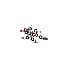 CC(C)(C)c1ccc(-c2ccc3c(c2)C2(C)CCCCC2(C)N3c2cc3c4c(c2)N(c2ccc(C(C)(C)C)cc2-c2ccccc2)c2cc(C(C)(C)C)ccc2B4c2cc(C(C)(C)C)ccc2N3c2ccc(C(C)(C)C)cc2-c2ccccc2)cc1